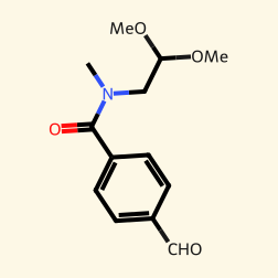 COC(CN(C)C(=O)c1ccc(C=O)cc1)OC